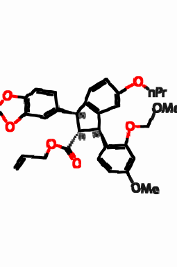 C=CCOC(=O)[C@H]1[C@H](c2ccc(OC)cc2OCOC)c2cc(OCCC)ccc2[C@@H]1c1ccc2c(c1)OCO2